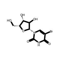 O=c1[nH]c(=O)n([C@@H]2O[C@H](CO)[C@H](O)C2O)cc1Br